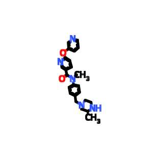 C[C@H]1CN(Cc2ccc(N(C)C(=O)c3ccc(Oc4cccnc4)nc3)cc2)CCN1